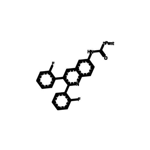 CCCCCC(=O)Nc1ccc2nc(-c3ccccc3F)c(-c3ccccc3F)cc2c1